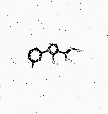 C/C(=N\O)c1cnn(-c2cccc(F)c2)c1C